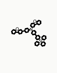 c1ccc([Si](c2ccccc2)(c2ccccc2)c2ccc(-c3ccc(N(c4ccc(-c5ccc6c(c5)oc5ccccc56)cc4)c4ccc5oc6ccccc6c5c4)cc3)cc2)cc1